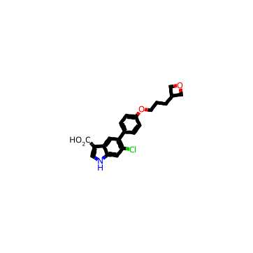 O=C(O)c1c[nH]c2cc(Cl)c(-c3ccc(OCCCC4COC4)cc3)cc12